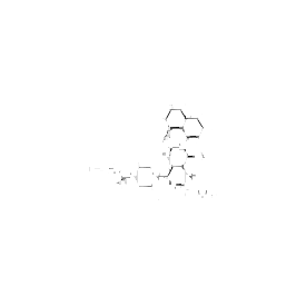 COc1nc(N2CCN(C(=O)OC(C)(C)C)C[C@@H]2C)c2nc(C(F)(F)F)n(-c3cccc4cccc(C)c34)c(=O)c2n1